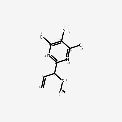 C=CC(SCCC)c1nc(Cl)c(N)c(Cl)n1